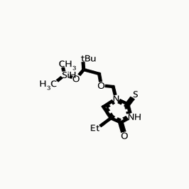 CCc1cn(COCC(O[SiH](C)C)C(C)(C)C)c(=S)[nH]c1=O